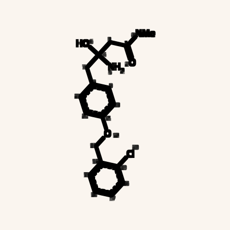 CNC(=O)CC(N)(O)Cc1ccc(OCc2ccccc2Cl)cc1